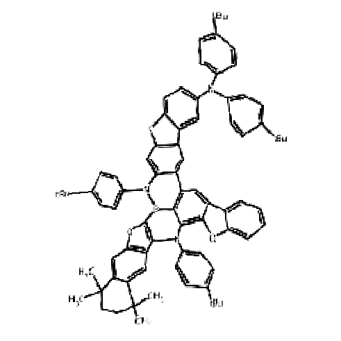 CC(C)(C)c1ccc(N2B3c4oc5cc6c(cc5c4N(c4ccc(C(C)(C)C)cc4)c4c3c(cc3c4oc4ccccc43)-c3cc4c(cc32)sc2ccc(N(c3ccc(C(C)(C)C)cc3)c3ccc(C(C)(C)C)cc3)cc24)C(C)(C)CCC6(C)C)cc1